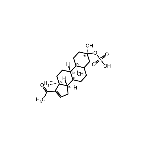 CC(=O)C1=CC[C@H]2[C@@H]3CCC4C[C@](O)(OS(=O)(=O)O)CC[C@]4(C)[C@H]3CC[C@]12C